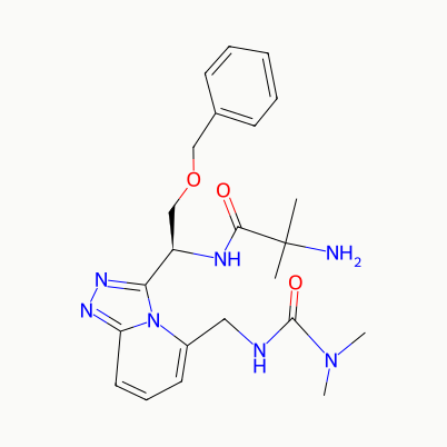 CN(C)C(=O)NCc1cccc2nnc([C@@H](COCc3ccccc3)NC(=O)C(C)(C)N)n12